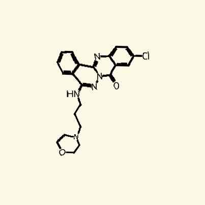 O=c1c2cc(Cl)ccc2nc2c3ccccc3c(NCCCN3CCOCC3)nn12